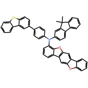 CC1(C)c2ccccc2-c2ccc(N(c3ccc(-c4ccc5sc6ccccc6c5c4)cc3)c3cccc4c3oc3cc5c(cc34)oc3ccccc35)cc21